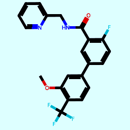 COc1cc(-c2ccc(F)c(C(=O)NCc3ccccn3)c2)ccc1C(F)(F)F